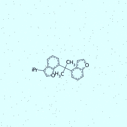 CC(C)c1coc2c(C(C)(C)c3cccc4occc34)cccc12